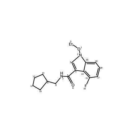 CCOn1cc(C(=O)NCC2CCCC2)c2c(F)cccc21